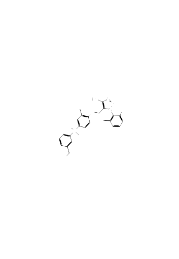 CCS(C)(c1cccc(CC(=O)O)c1)c1ccc(OCc2c(C(C)C)nnn2-c2c(Cl)cccc2Cl)c(C)c1